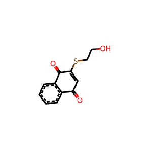 O=C1C=C(SCCO)C(=O)c2ccccc21